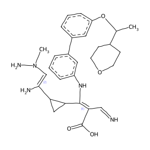 CC(Oc1cccc(-c2cccc(N/C(=C(\C=N)C(=O)O)C3CC3/C(N)=C/N(C)N)c2)c1)C1CCOCC1